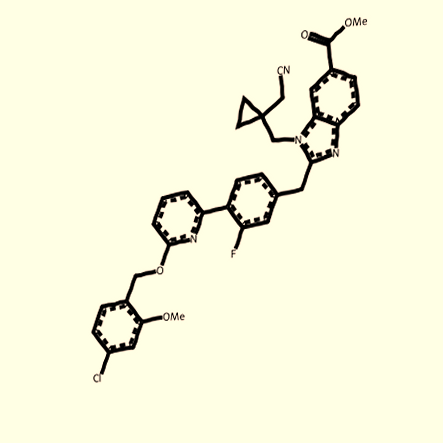 COC(=O)c1ccc2nc(Cc3ccc(-c4cccc(OCc5ccc(Cl)cc5OC)n4)c(F)c3)n(CC3(CC#N)CC3)c2c1